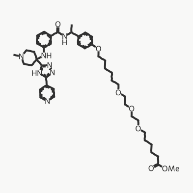 COC(=O)CCCCCOCCOCCOCCCCCCOc1ccc(C(C)NC(=O)c2cccc(NC3(c4nnc(-c5ccncc5)[nH]4)CCN(C)CC3)c2)cc1